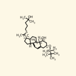 CC(SCCCC(C)(C)O)[C@H]1CC[C@H]2C3=CC=C4C[C@@H](O[Si](C)(C)C(C)(C)C)C[C@H](O)[C@]4(C)[C@H]3CC[C@]12C